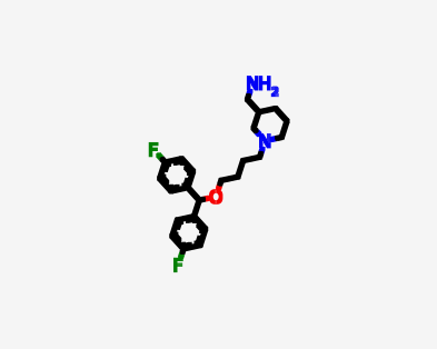 NCC1CCCN(CCCCOC(c2ccc(F)cc2)c2ccc(F)cc2)C1